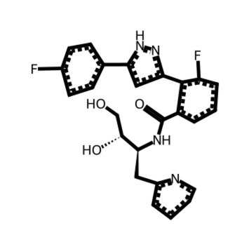 O=C(N[C@@H](Cc1ccccn1)[C@H](O)CO)c1cccc(F)c1-c1cc(-c2ccc(F)cc2)[nH]n1